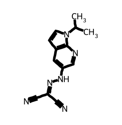 CC(C)n1ccc2cc(NN=C(C#N)C#N)cnc21